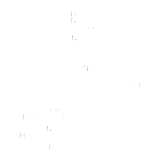 COc1cccc(C(CCN2CCC(n3c(=O)[nH]c4ccccc43)CC2)c2ccc(C(=O)N(C(C)C)C(C)C)cc2)c1